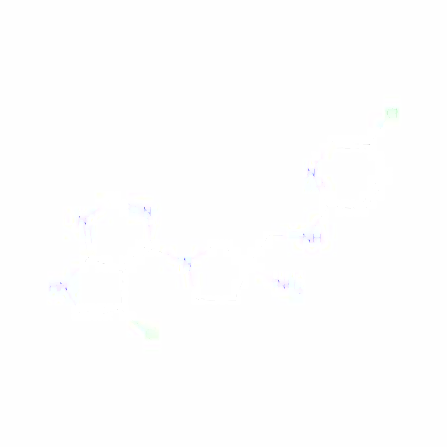 N[C@]1(CNc2ccc(Cl)cn2)CCN(c2ncnc3[nH]cc(Cl)c23)C1